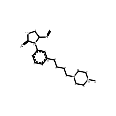 C=NC1COC(=O)N1c1cccc(CCCCN2CCN(C)CC2)c1